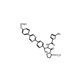 CCCCCCCOc1ccc(-c2cnc(-c3ccc(C(C(NC(=O)c4ccc(C(C)(C)C)s4)C(=O)N4CCCC4C(=O)O)C(C)(C)C)cc3)nc2)cc1